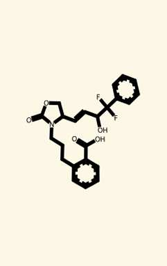 O=C(O)c1ccccc1CCCN1C(=O)OCC1/C=C/C(O)C(F)(F)c1ccccc1